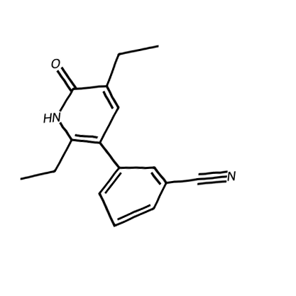 CCc1[nH]c(=O)c(CC)cc1-c1cccc(C#N)c1